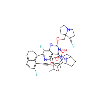 CC1Oc2nc(-c3cccc4ccc(F)c(C#C[Si](C(C)C)(C(C)C)C(C)C)c34)c(F)c3nc(OCC45CCCN4CCC5=CF)nc(c23)N2CC3CCC(C12)N3C(=O)O